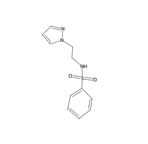 O=S(=O)(NCCn1cccn1)c1ccccc1